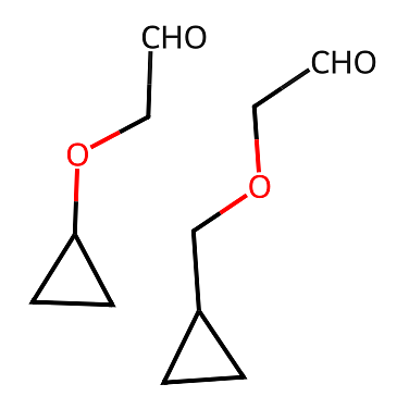 O=CCOC1CC1.O=CCOCC1CC1